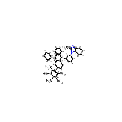 Bc1c(B)c(B)c(-c2ccc3c(-c4cccc(-n5c(C)nc6ccccc65)c4)c4ccccc4c(-c4ccccc4)c3c2)c(B)c1B